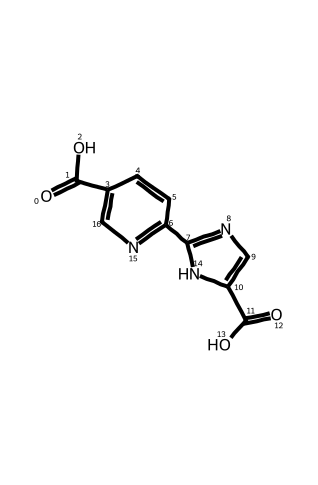 O=C(O)c1ccc(-c2ncc(C(=O)O)[nH]2)nc1